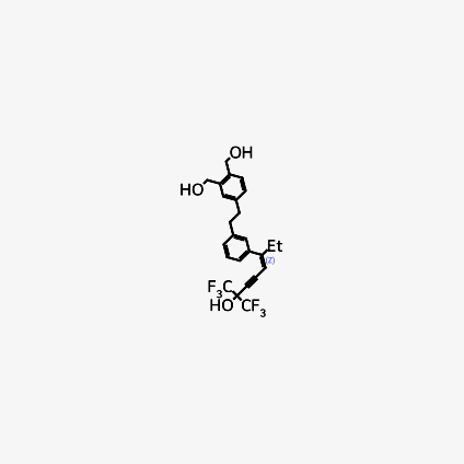 CC/C(=C/C#CC(O)(C(F)(F)F)C(F)(F)F)c1cccc(CCc2ccc(CO)c(CO)c2)c1